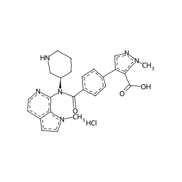 Cl.Cn1ncc(-c2ccc(C(=O)N(c3nccc4ccn(C)c34)[C@@H]3CCCNC3)cc2)c1C(=O)O